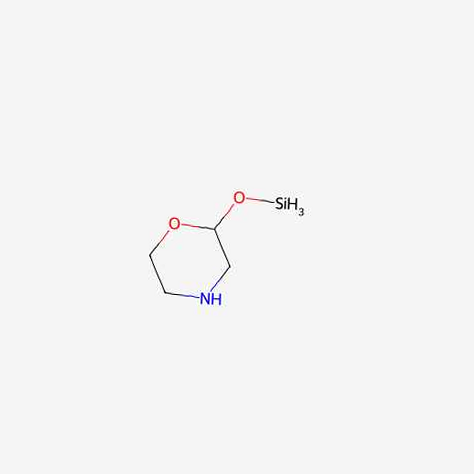 [SiH3]OC1CNCCO1